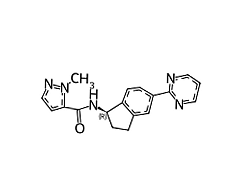 Cn1nccc1C(=O)N[C@@H]1CCc2cc(-c3ncccn3)ccc21